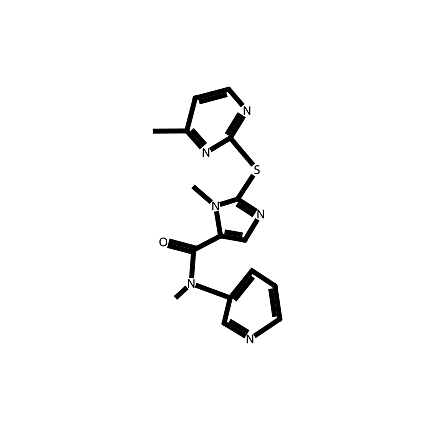 Cc1ccnc(Sc2ncc(C(=O)N(C)c3cccnc3)n2C)n1